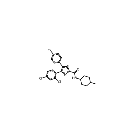 CC1CCC(NC(=O)c2nc(-c3ccc(Cl)cc3Cl)c(-c3ccc(Cl)cc3)s2)CC1